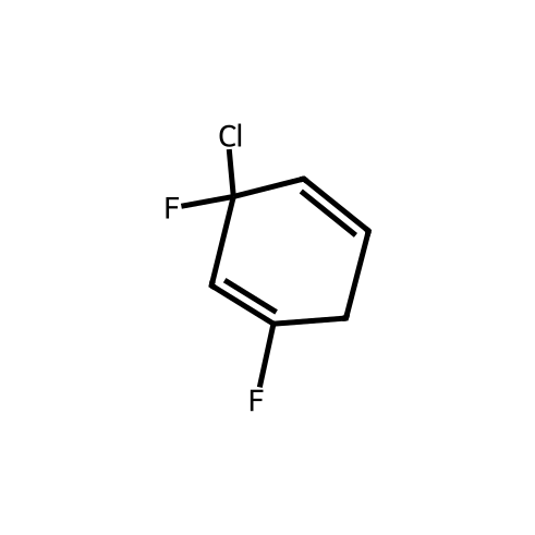 FC1=CC(F)(Cl)C=CC1